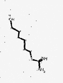 N=C(N)SCCCCCCO